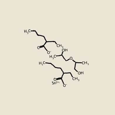 CC(O)COC(C)CO.CCCCC(CC)C(=O)[O-].CCCCC(CC)C(=O)[O-].[Sn+2]